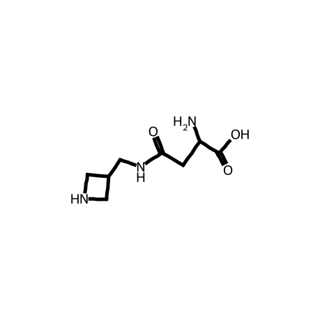 NC(CC(=O)NCC1CNC1)C(=O)O